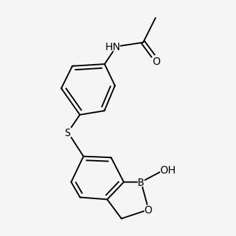 CC(=O)Nc1ccc(Sc2ccc3c(c2)B(O)OC3)cc1